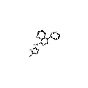 Cc1csc(Nc2ncc(-c3cccnc3)c3cccnc23)n1